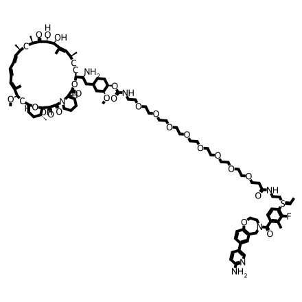 C/C=S(\CCNC(=O)CCOCCOCCOCCOCCOCCOCCOCCOCCNC(=O)O[C@@H]1CCC(C[C@@H](N)[C@@H]2CC[C@H](C)/C=C(\C)[C@@H](O)[C@@H](O)C(=O)[C@H](C)C[C@H](C)/C=C/C=C/C=C(\C)[C@@H](OC)C[C@@H]3CC[C@@H](C)[C@@](O)(O3)C(=O)C(=O)N3CCCC[C@H]3C(=O)O2)C[C@H]1OC)c1ccc(C(=O)N2CCOc3ccc(-c4ccc(N)nc4)cc3C2)c(C)c1F